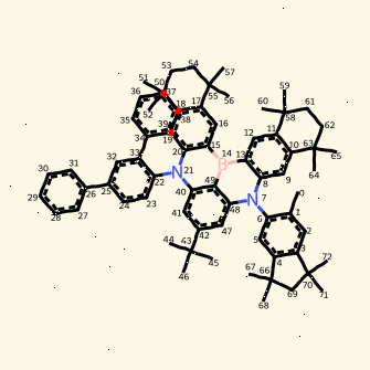 Cc1cc2c(cc1N1c3cc4c(cc3B3c5cc6c(cc5N(c5ccc(-c7ccccc7)cc5-c5ccccc5)c5cc(C(C)(C)C)cc1c53)C(C)(C)CCC6(C)C)C(C)(C)CCC4(C)C)C(C)(C)CC2(C)C